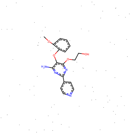 COc1ccccc1Oc1c(N)nc(-c2ccncc2)nc1OCCO